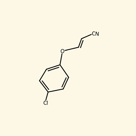 N#CC=COc1ccc(Cl)cc1